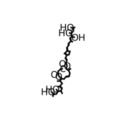 CC(/C=C/C=C1C=C(/C=C/C(=O)OC2CCCC(=O)OC(C(C)C/C(C)=C/C(C)C(O)CC(C)O)C/C=C/CC2C)CC/1)=C\C(O)C(O)CC(C)O